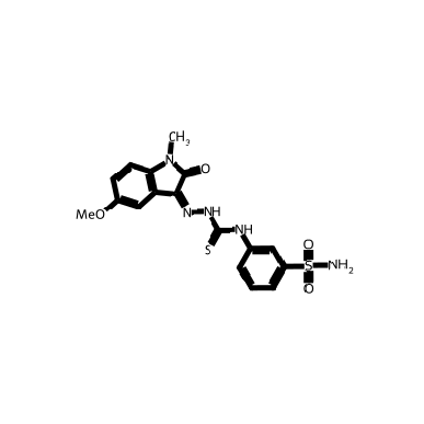 COc1ccc2c(c1)C(=NNC(=S)Nc1cccc(S(N)(=O)=O)c1)C(=O)N2C